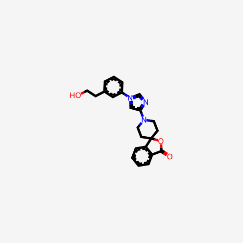 O=C1OC2(CCN(c3cn(-c4cccc(CCO)c4)cn3)CC2)c2ccccc21